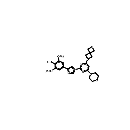 COc1cc(-c2cn(-c3nc(N4CCOCC4)nc(N4CC5(COC5)C4)n3)cn2)cc(OC)c1O